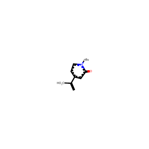 C=C(C(=O)O)c1ccn(CCCC)c(=O)c1